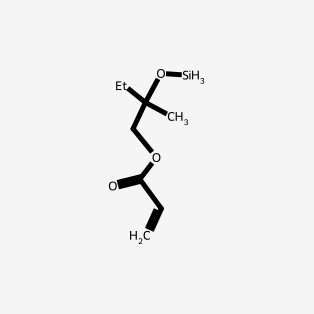 C=CC(=O)OCC(C)(CC)O[SiH3]